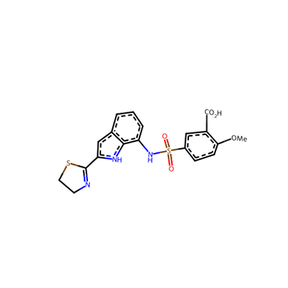 COc1ccc(S(=O)(=O)Nc2cccc3cc(C4=NCCS4)[nH]c23)cc1C(=O)O